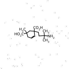 CC(C)(N)CCC1(C(=O)O)C=CCC(C)(C(=O)O)C1